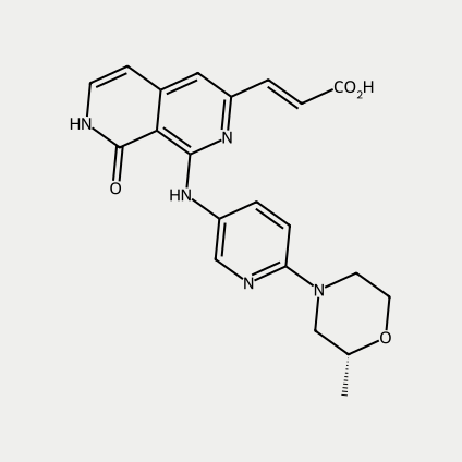 C[C@@H]1CN(c2ccc(Nc3nc(C=CC(=O)O)cc4cc[nH]c(=O)c34)cn2)CCO1